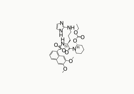 CCOC(=O)O[C@@H]1CCCCN1C(=O)[C@H](CCCNc1ncc[nH]1)NS(=O)(=O)c1cccc2cc(OC)c(OC)cc12